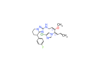 C=C/C=C(\C(=C/CNc1nc2n(n1)CCCC2c1ccc(F)cc1)OC)n1cnc(Cl)c1